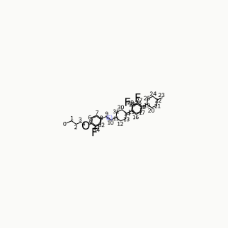 CCCCOc1ccc(/C=C/C2CCC(c3ccc(C4CCC(C)CC4)c(F)c3F)CC2)cc1F